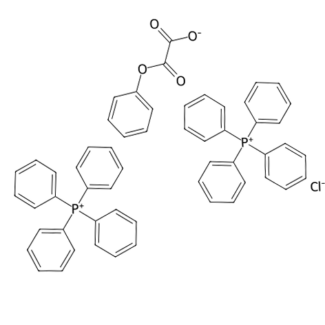 O=C([O-])C(=O)Oc1ccccc1.[Cl-].c1ccc([P+](c2ccccc2)(c2ccccc2)c2ccccc2)cc1.c1ccc([P+](c2ccccc2)(c2ccccc2)c2ccccc2)cc1